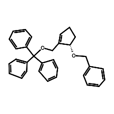 C1=C(COC(c2ccccc2)(c2ccccc2)c2ccccc2)[C@@H](OCc2ccccc2)CC1